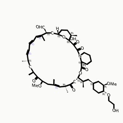 COC1C/C(C)=C/[C@@H](C)C(=O)C[C@@H]([C@H](C)C[C@@H]2CC[C@@H](OCCO)[C@H](OC)C2)OC(=O)[C@@H]2CCCCN2C(=O)C(=O)[C@]2(O)O[C@@H](CC[C@H]2C)C[C@H](C=O)/C(C)=C/C=C/C=C/[C@@H](C)CC(C)C1=O